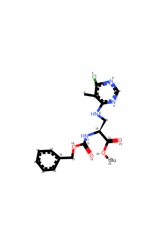 Cc1c(Cl)ncnc1NC[C@H](NC(=O)OCc1ccccc1)C(=O)OC(C)(C)C